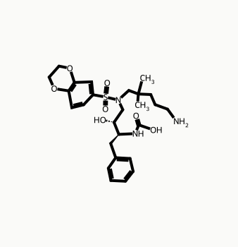 CC(C)(CCCN)CN(C[C@@H](O)[C@H](Cc1ccccc1)NC(=O)O)S(=O)(=O)c1ccc2c(c1)OCCO2